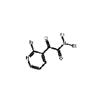 CCN(CC)C(=O)C(=O)c1cccnc1Br